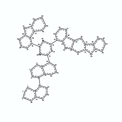 c1ccc2c(-c3cccc4c(-c5nc(-c6cccc7c6oc6cc8oc9ccccc9c8cc67)nc(-c6cccc7oc8ccccc8c67)n5)cccc34)cccc2c1